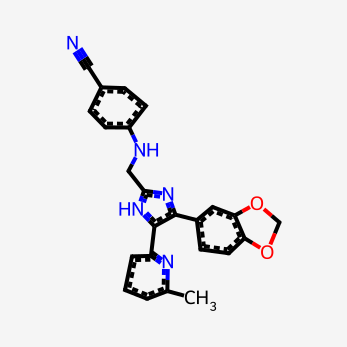 Cc1cccc(-c2[nH]c(CNc3ccc(C#N)cc3)nc2-c2ccc3c(c2)OCO3)n1